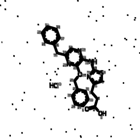 Cl.O=C(O)CCc1csc(Nc2ncc(Cc3ccccc3)nc2OCc2ccccc2)n1